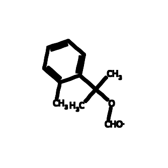 Cc1ccccc1C(C)(C)O[C]=O